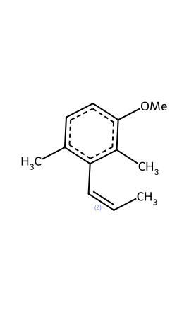 C/C=C\c1c(C)ccc(OC)c1C